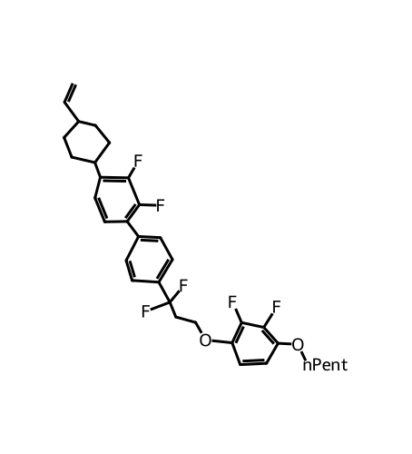 C=CC1CCC(c2ccc(-c3ccc(C(F)(F)CCOc4ccc(OCCCCC)c(F)c4F)cc3)c(F)c2F)CC1